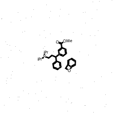 COC(=O)c1cccc(C(CCN(C(C)C)C(C)C)c2ccccc2)c1.c1ccc2c(c1)CO2